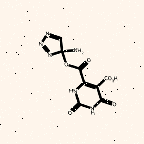 NC1(OC(=O)c2[nH]c(=O)[nH]c(=O)c2C(=O)O)C=NN=N1